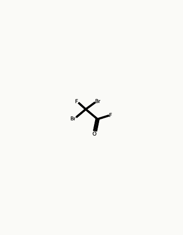 O=C(F)C(F)(Br)Br